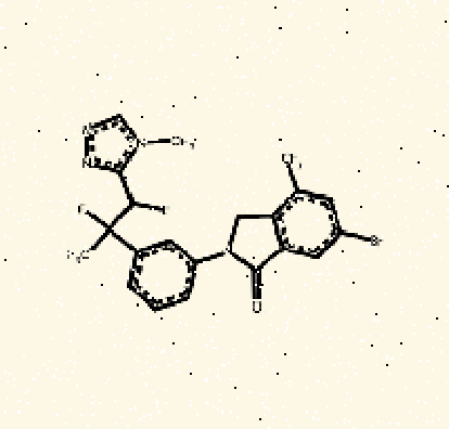 Cn1cnnc1C(F)C(C)(F)c1cccc(N2Cc3c(cc(Br)cc3C(F)(F)F)C2=O)c1